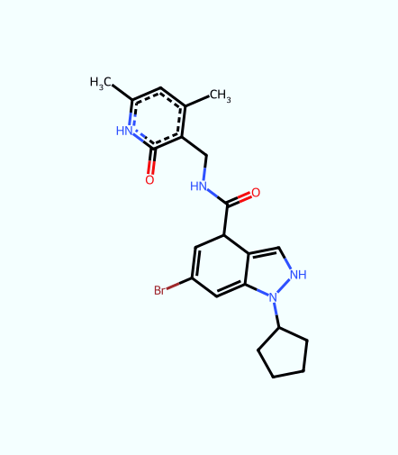 Cc1cc(C)c(CNC(=O)C2C=C(Br)C=C3C2=CNN3C2CCCC2)c(=O)[nH]1